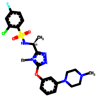 CCn1c(Oc2cccc(N3CCN(C)CC3)c2)nnc1[C@@H](C)NS(=O)(=O)c1ccc(F)cc1Cl